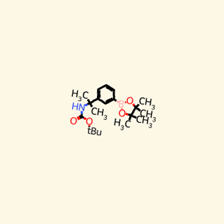 CC(C)(C)OC(=O)NC(C)(C)c1cccc(B2OC(C)(C)C(C)(C)O2)c1